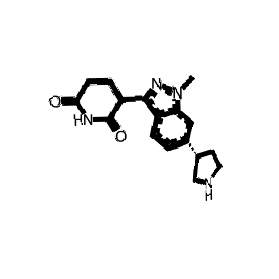 Cn1nc(C2CCC(=O)NC2=O)c2ccc([C@@H]3CCNC3)cc21